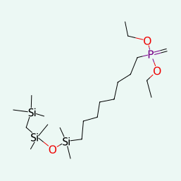 C=P(CCCCCCCC[Si](C)(C)O[Si](C)(C)C[Si](C)(C)C)(OCC)OCC